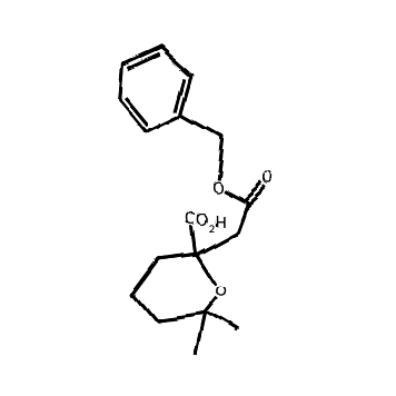 CC1(C)CCCC(CC(=O)OCc2ccccc2)(C(=O)O)O1